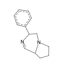 C1=NC(c2ccccc2)CN2CCCC12